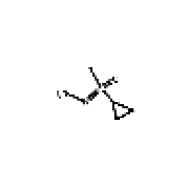 CS(=O)(=NN)C1CC1